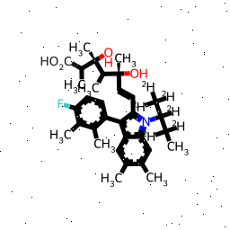 [2H]C([2H])([2H])C([2H])(n1c(/C=C/[C@@](C)(O)C(C)[C@@](C)(O)C(C)C(=O)O)c(-c2ccc(F)c(C)c2C)c2cc(C)c(C)cc21)C([2H])([2H])C